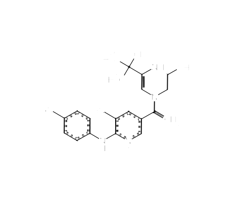 C=C(c1cnc(Nc2ccc(Cl)cc2)c(Cl)c1)N(/C=C(\N)C(C)(C)C)CCC